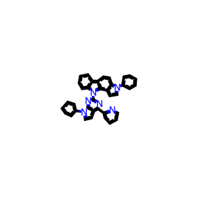 c1ccc(-n2ccc3c2ccc2c4ccccc4n(-c4nc(-c5ccccn5)c5ccn(-c6ccccc6)c5n4)c23)cc1